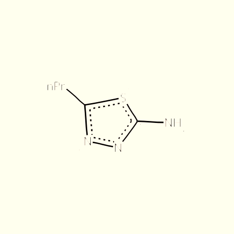 CCCc1nnc(N)s1